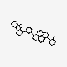 Cc1ccccc1-c1ccc2ccc3c(-c4cccc(-c5cccc6c5oc5ccccc56)c4)ccc4ccc1c2c43